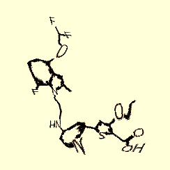 CCOc1cc(-c2cc(NCCn3c(C)cc4c(OCC(F)F)ccc(F)c43)ccn2)sc1C(=O)O